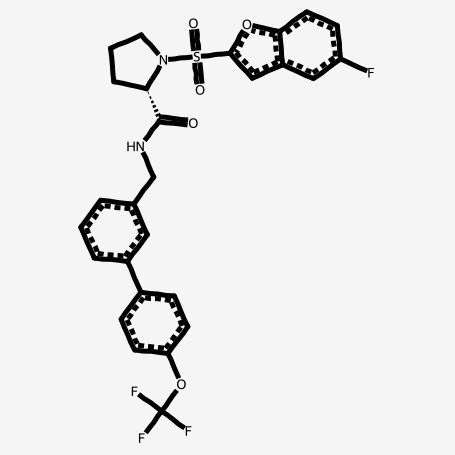 O=C(NCc1cccc(-c2ccc(OC(F)(F)F)cc2)c1)[C@@H]1CCCN1S(=O)(=O)c1cc2cc(F)ccc2o1